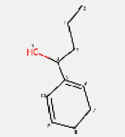 CCCC(O)C1=CCCC=C1